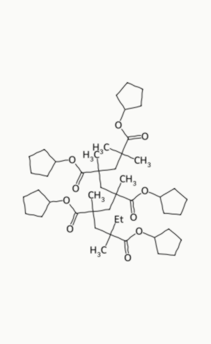 CCC(C)(CC(C)(CC(C)(CC(C)(CC(C)(C)C(=O)OC1CCCC1)C(=O)OC1CCCC1)C(=O)OC1CCCC1)C(=O)OC1CCCC1)C(=O)OC1CCCC1